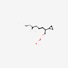 C=C(CCC)CCCC(COCOC)C1CC1